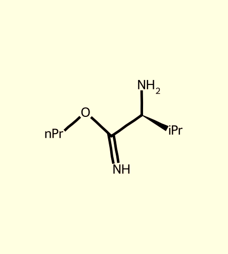 CCCOC(=N)[C@@H](N)C(C)C